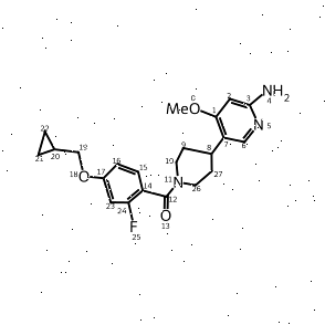 COc1cc(N)ncc1C1CCN(C(=O)c2ccc(OCC3CC3)cc2F)CC1